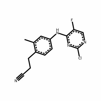 Cc1cc(Nc2nc(Cl)ncc2F)ccc1CCC#N